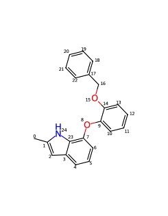 Cc1cc2cccc(Oc3ccccc3OCc3ccccc3)c2[nH]1